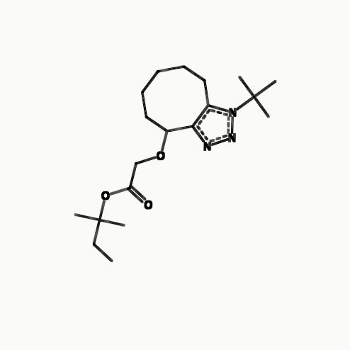 CCC(C)(C)OC(=O)COC1CCCCCc2c1nnn2C(C)(C)C